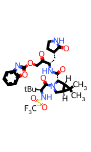 CC(C)(C)[C@H](NS(=O)(=O)C(F)(F)F)C(=O)N1C[C@H]2[C@@H]([C@H]1C(=O)N[C@@H](C[C@@H]1CCNC1=O)C(=O)COc1nc3ccccc3o1)C2(C)C